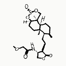 C=C1CC[C@@H]2[C@]3(C)COS(=O)O[C@@H]3CC[C@@]2(C)[C@@H]1C/C=C1/C(=O)OC[C@@H]1NC(=O)COC